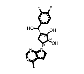 Cc1ncnc2c1ccn2[C@@H]1C[C@H](C(O)c2ccc(F)c(F)c2)[C@@H](O)[C@H]1O